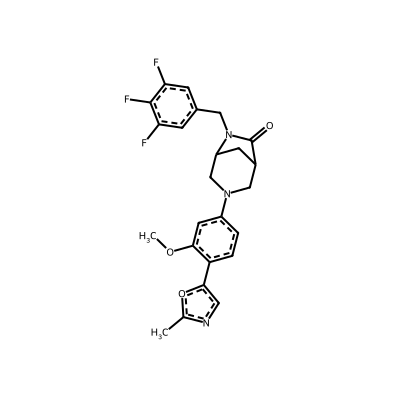 COc1cc(N2CC3CC(C2)N(Cc2cc(F)c(F)c(F)c2)C3=O)ccc1-c1cnc(C)o1